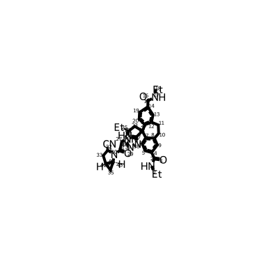 CCNC(=O)c1ccc2c(c1)CCc1cc(C(=O)NCC)ccc1C2(C[C@H](CC)NCC(=O)N1[C@H](C#N)C[C@@H]2C[C@@H]21)c1nnn[nH]1